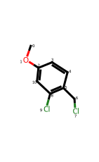 COc1ccc(CCl)c(Cl)c1